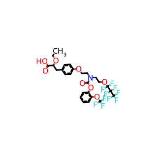 CCOC(Cc1ccc(OCCN(CCOC(F)(F)C(F)(F)C(F)(F)F)C(=O)Oc2ccccc2OC(F)(F)F)cc1)C(=O)O